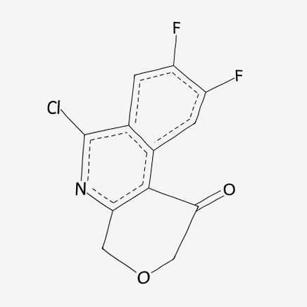 O=C1COCc2nc(Cl)c3cc(F)c(F)cc3c21